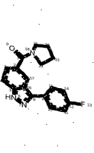 O=C(c1ccc2[nH]nc(-c3ccc(F)cc3)c2c1)N1CCCC1